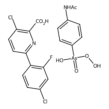 CC(=O)Nc1ccc([As](=O)(O)OO)cc1.O=C(O)c1nc(-c2ccc(Cl)cc2F)ccc1Cl